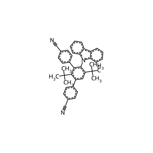 CC(C)(C)c1cc(-c2ccc(C#N)cc2)c(C(C)(C)C)c(-c2ccc(C#N)cc2)c1-n1c2ccccc2c2ccccc21